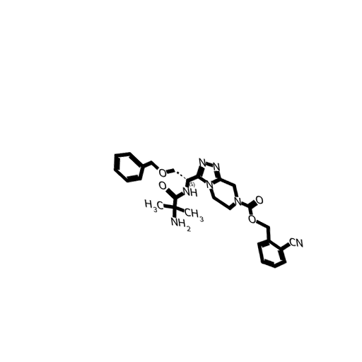 CC(C)(N)C(=O)N[C@H](COCc1ccccc1)c1nnc2n1CCN(C(=O)OCc1ccccc1C#N)C2